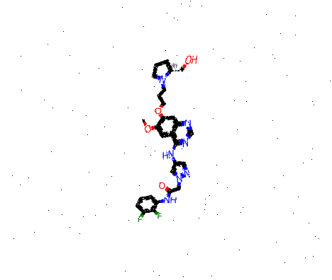 COc1cc2c(Nc3cnn(CC(=O)Nc4cccc(F)c4F)c3)ncnc2cc1OCCCN1CCC[C@@H]1CO